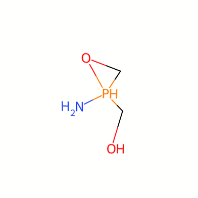 N[PH]1(CO)CO1